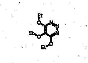 CCOc1nnnc(OCC)c1OCC